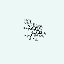 CC(C)(C)[C@H](NC(=O)N[C@H](CN1CCCNC1=O)C(C)(C)C)C(=O)N1C[C@H]2C([C@H]1C(=O)NC(CC1CCC1)C(=O)C(N)=O)C2(C)C